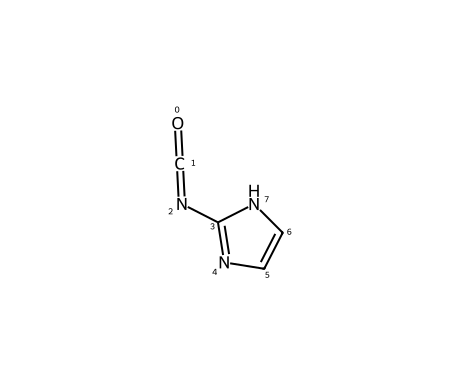 O=C=Nc1ncc[nH]1